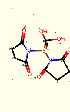 O=C1CCC(=O)N1S(=C(O)O)N1C(=O)CCC1=O